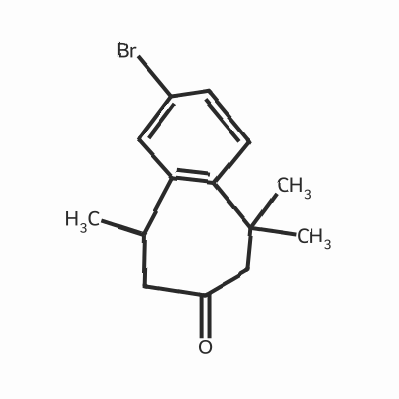 CC1CC(=O)CC(C)(C)c2ccc(Br)cc21